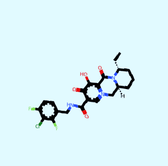 CC[C@@H]1CCC[C@H]2Cn3cc(C(=O)NCc4ccc(F)c(Cl)c4F)c(=O)c(O)c3C(=O)N12